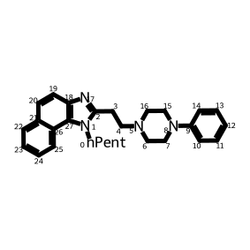 CCCCCn1c(CCN2CCN(c3ccccc3)CC2)nc2ccc3ccccc3c21